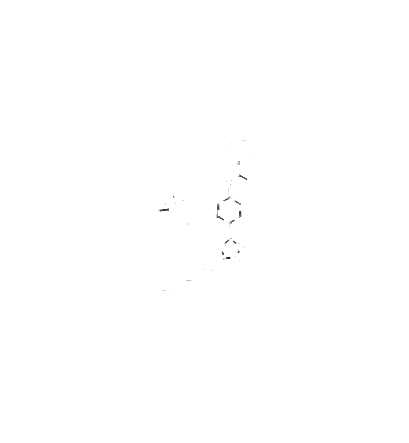 CCN(CC)CCCNc1nnc(-c2ccc(NC(=O)C3CCCC3)cc2OC)o1.O=C(O)C(F)(F)F